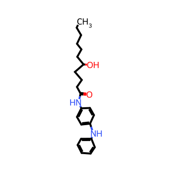 CCCCCCC(O)CCCC(=O)Nc1ccc(Nc2ccccc2)cc1